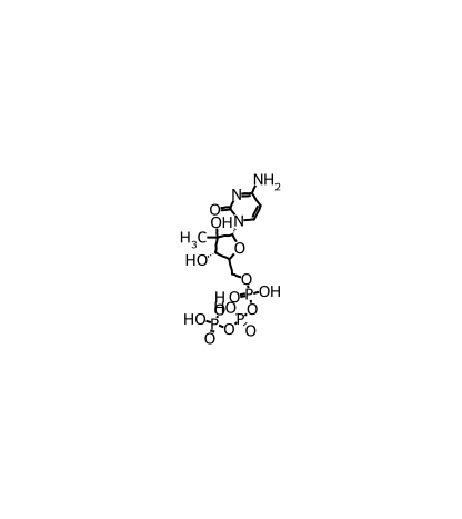 CC1(O)[C@@H](O)C(COP(=O)(O)OP(=O)(O)OP(=O)(O)O)O[C@H]1n1ccc(N)nc1=O